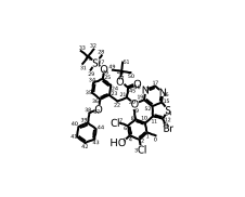 Cc1c(Cl)c(O)c(Cl)c(C)c1-c1c(Br)sc2ncnc(OC(Cc3cc(O[Si](C)(C)C(C)(C)C)ccc3OCc3ccccc3)C(=O)OC(C)(C)C)c12